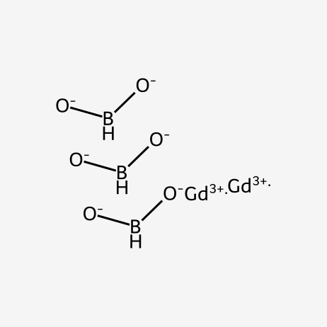 [Gd+3].[Gd+3].[O-]B[O-].[O-]B[O-].[O-]B[O-]